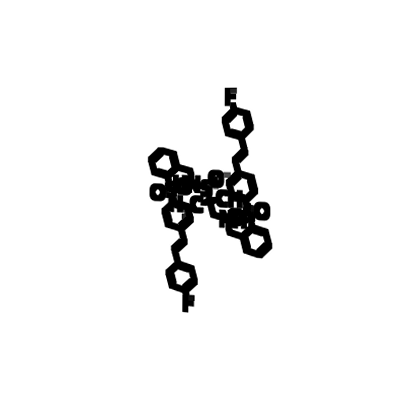 CC(C)(CNCc1ccccc1S(=O)(=O)c1ccc(C=Cc2ccc(F)cc2)cc1)[S+]([O-])NCc1ccccc1S(=O)(=O)c1ccc(C=Cc2ccc(F)cc2)cc1